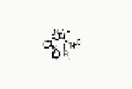 C/C=N\C=C(/CC)c1c[nH]c2ncc(-c3ccccc3Oc3ccccc3)cc12